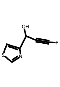 OC(C#CF)c1cscn1